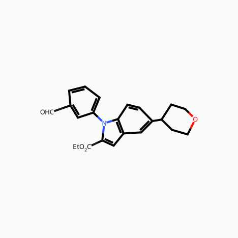 CCOC(=O)c1cc2cc(C3CCOCC3)ccc2n1-c1cccc(C=O)c1